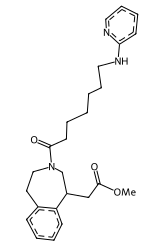 COC(=O)CC1CN(C(=O)CCCCCCNc2ccccn2)CCc2ccccc21